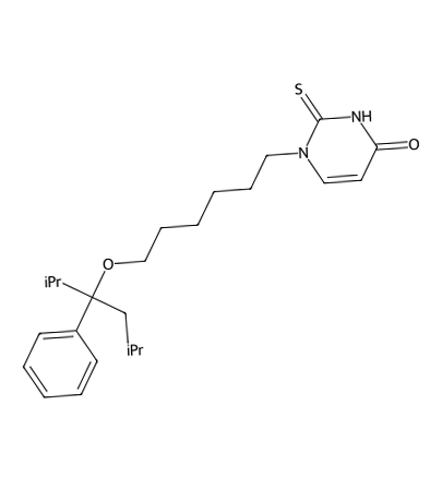 CC(C)CC(OCCCCCCn1ccc(=O)[nH]c1=S)(c1ccccc1)C(C)C